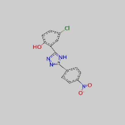 O=[N+]([O-])c1ccc(-c2nnc(-c3cc(Cl)ccc3O)[nH]2)cc1